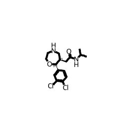 CC(C)NC(=O)C[C@@H]1CNCCO[C@H]1c1ccc(Cl)c(Cl)c1